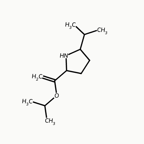 C=C(OC(C)C)C1CCC(C(C)C)N1